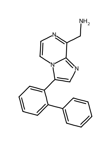 NCc1nccn2c(-c3ccccc3-c3ccccc3)cnc12